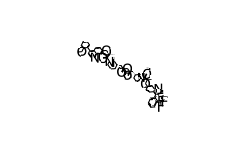 COc1ccccc1-c1ccnc2cc(O[C@H](C)C(=O)N3CCC[C@H](CC(=O)OC(=O)C[C@H]4CCCN(C(=O)[C@@H](C)Oc5ccc6c(-c7ccccc7C(F)(F)F)ccnc6c5)C4)C3)ccc12